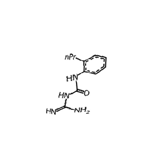 CCCc1ccccc1NC(=O)NC(=N)N